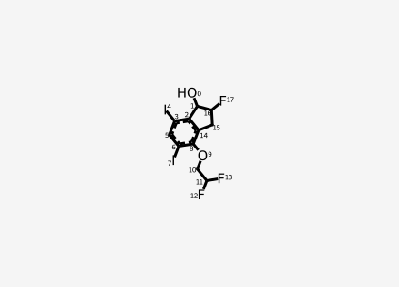 OC1c2c(I)cc(I)c(OCC(F)F)c2CC1F